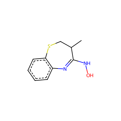 CC1CSc2ccccc2N=C1NO